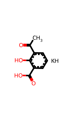 CC(=O)c1cccc(C(=O)O)c1O.[KH]